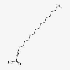 CCCCCCCCCCCCCCCC#CC(=O)O